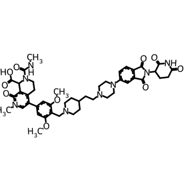 CNC(=O)N1CCc2c(-c3cc(OC)c(CN4CCC(CCN5CCN(c6ccc7c(c6)C(=O)N(C6CCC(=O)NC6=O)C7=O)CC5)CC4)c(OC)c3)cn(C)c(=O)c2C1C(=O)O